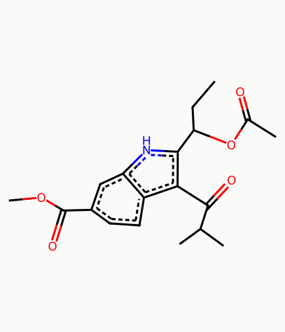 CCC(OC(C)=O)c1[nH]c2cc(C(=O)OC)ccc2c1C(=O)C(C)C